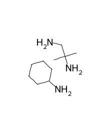 CC(C)(N)CN.NC1CCCCC1